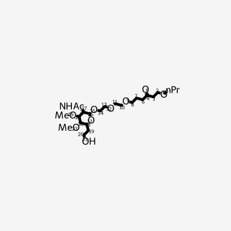 CCCOCCC(=O)CCCOCCOCCOC1OC(CCO)C(OC)C(OC)C1NC(C)=O